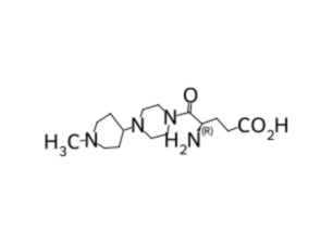 CN1CCC(N2CCN(C(=O)[C@H](N)CCC(=O)O)CC2)CC1